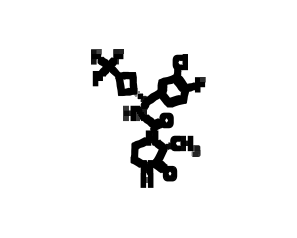 C[C@@H]1C(=O)NCCN1C(=O)NC(c1ccc(F)c(Cl)c1)[C@H]1C[C@H](C(F)(F)F)C1